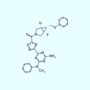 CN(c1ccccc1)c1nc(N)nc(-c2noc(C(=O)N3C[C@H]4[C@H](COc5ccccc5)[C@@]4(F)C3)n2)n1